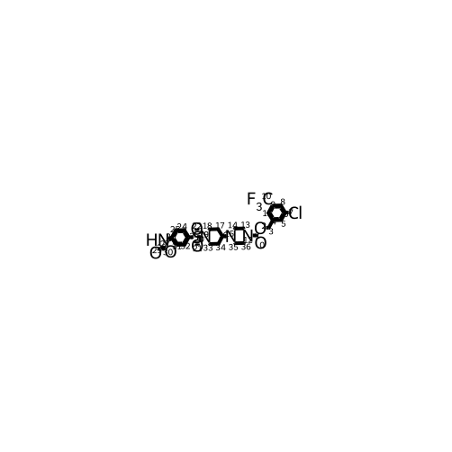 O=C(OCc1cc(Cl)cc(C(F)(F)F)c1)N1CCN(C2CCN(S(=O)(=O)c3ccc4[nH]c(=O)oc4c3)CC2)CC1